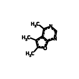 Cc1oc2ncnc(C)c2c1C